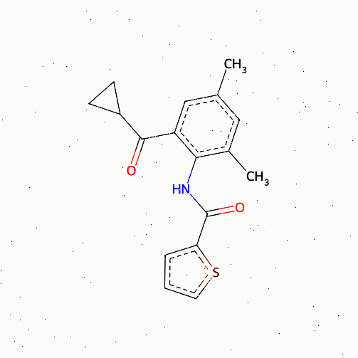 Cc1cc(C)c(NC(=O)c2cccs2)c(C(=O)C2CC2)c1